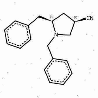 N#C[C@@H]1C[C@H](Cc2ccccc2)N(Cc2ccccc2)C1